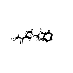 O=CNc1cn(-c2nc3ccccc3[nH]2)cn1